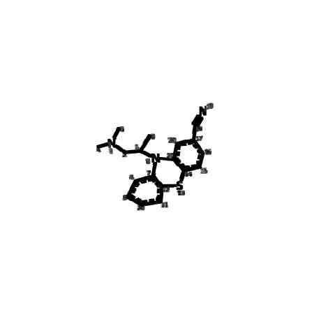 CC(CN(C)C)N1c2ccccc2Sc2ccc(C#N)cc21